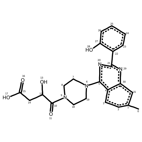 Cc1ccc2c(N3CCN(C(=O)C(O)CC(=O)O)CC3)nc(-c3ccccc3O)nc2c1